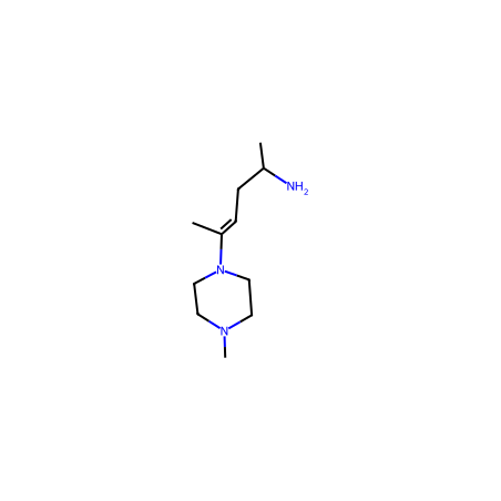 C/C(=C\CC(C)N)N1CCN(C)CC1